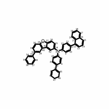 C1=CC(c2ccc(N(c3ccc(-c4cccc5ccccc45)cc3)c3ccc4oc5ccc(-c6ccccc6)cc5c4c3)cc2)=CCC1